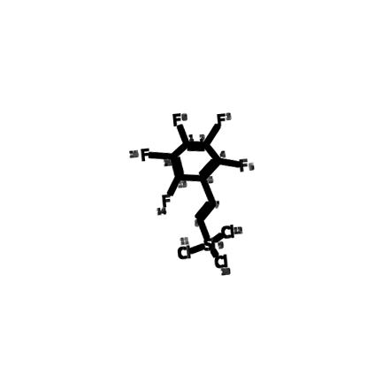 Fc1c(F)c(F)c(/C=C/[Si](Cl)(Cl)Cl)c(F)c1F